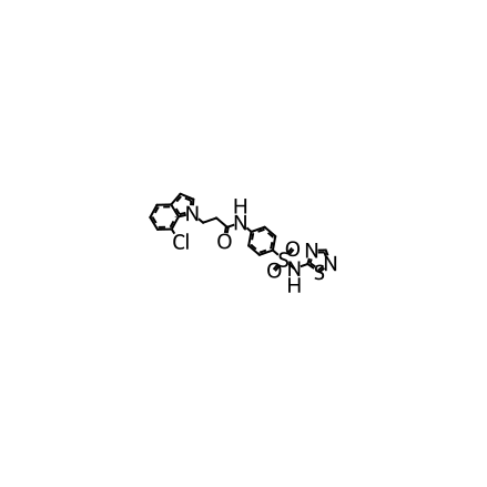 O=C(CCn1ccc2cccc(Cl)c21)Nc1ccc(S(=O)(=O)Nc2ncns2)cc1